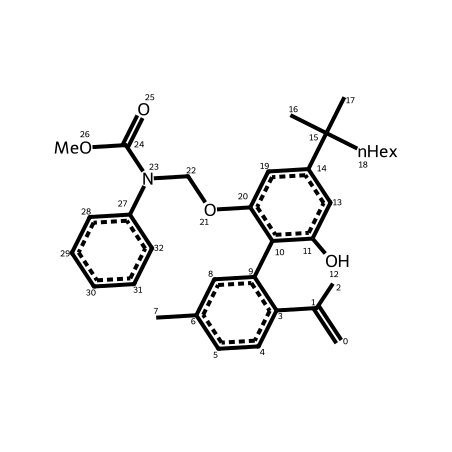 C=C(C)c1ccc(C)cc1-c1c(O)cc(C(C)(C)CCCCCC)cc1OCN(C(=O)OC)c1ccccc1